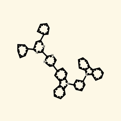 c1ccc(-c2cc(-c3ccccc3)nc(-c3ncc(-c4ccc5c(c4)c4ccccc4n5-c4cccc(-n5c6ccccc6c6ccccc65)c4)cn3)n2)cc1